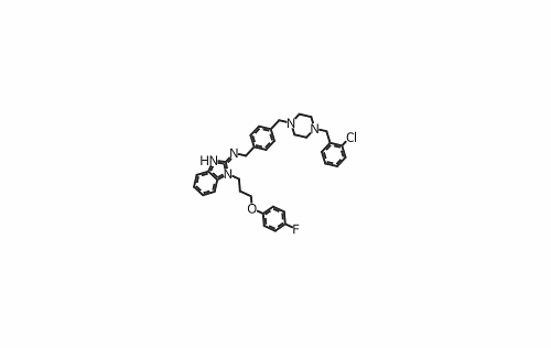 Fc1ccc(OCCCn2c(=NCc3ccc(CN4CCN(Cc5ccccc5Cl)CC4)cc3)[nH]c3ccccc32)cc1